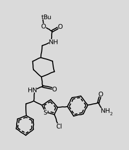 CC(C)(C)OC(=O)NCC1CCC(C(=O)NC(Cc2ccccc2)c2cc(-c3ccc(C(N)=O)cc3)c(Cl)s2)CC1